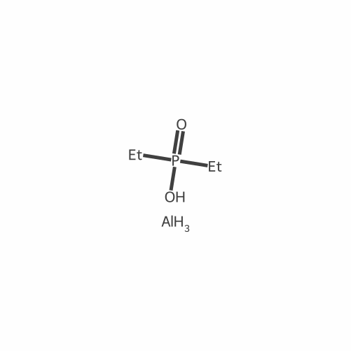 CCP(=O)(O)CC.[AlH3]